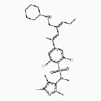 CC/C=C(\C=C(/C)c1cc(Cl)c(S(=O)(=O)N(C)c2c(C)nn(C)c2C)c(Cl)c1)CNC1CCCCC1